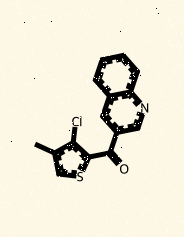 Cc1csc(C(=O)c2cnc3ccccc3c2)c1Cl